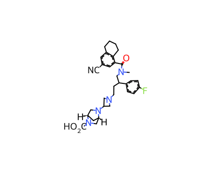 CN(CC(CCN1CC(N2C[C@@H]3C[C@H]2CN3C(=O)O)C1)c1ccc(F)cc1)C(=O)c1cc(C#N)cc2c1CCCC2